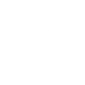 C[C@H](CC(=O)O)c1ccc(F)c(NC(=O)[C@H](c2ccc(Cl)cc2)[C@@H](C)C(F)(F)F)c1